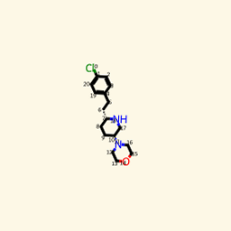 Clc1ccc(CC[C@H]2CC[C@@H](N3CCOCC3)CN2)cc1